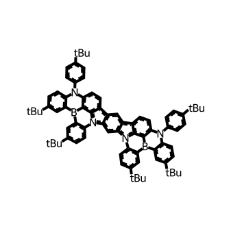 CC(C)(C)c1ccc(N2c3ccc(C(C)(C)C)cc3B3c4cc(C(C)(C)C)ccc4-n4c5cc6c(cc5c5ccc2c3c54)c2ccc3c4c2n6-c2ccc(C(C)(C)C)cc2B4c2cc(C(C)(C)C)ccc2N3c2ccc(C(C)(C)C)cc2)cc1